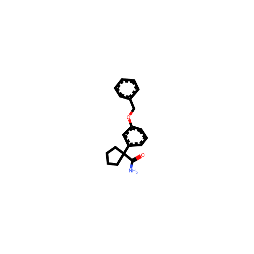 NC(=O)C1(c2cccc(OCc3ccccc3)c2)CCCC1